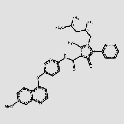 COc1ccc2c(Oc3ccc(NC(=O)c4c(C)n(C[C@H](C)C[C@H](N)C(=O)O)n(-c5ccccc5)c4=O)nc3)ccnc2c1